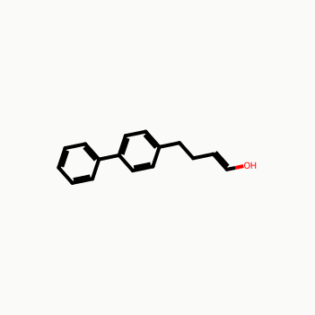 OC=CCCc1ccc(-c2ccccc2)cc1